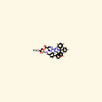 CCCCN(Cc1ccc(-c2ccccc2-c2nnnn2C(c2ccccc2)(c2ccccc2)c2ccccc2)cc1)c1ncncc1C(=O)OCC(=O)OC